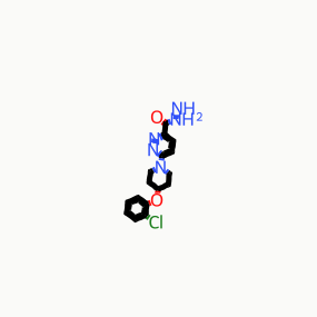 NNC(=O)c1ccc(N2CCC(Oc3ccccc3Cl)CC2)nn1